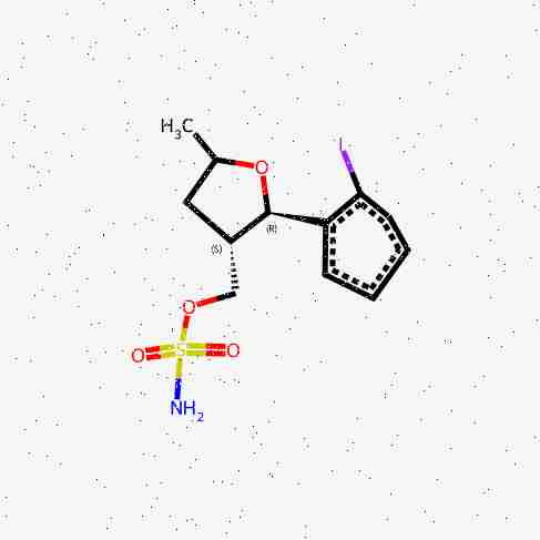 CC1C[C@@H](COS(N)(=O)=O)[C@H](c2ccccc2I)O1